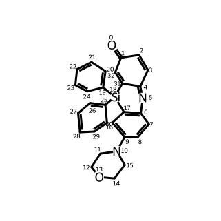 O=C1C=CC2=Nc3ccc(N4CCOCC4)cc3[Si](c3ccccc3)(c3ccccc3)C2=C1